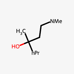 CCCC(C)(O)CCNC